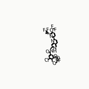 O=C(NCc1cc2nc(-c3ccc(OC(F)F)c([C@@H]4CC4(F)F)n3)ccc2cn1)c1cc(Cl)c2c(c1)S(=O)(=O)[C@@H](F)COC2